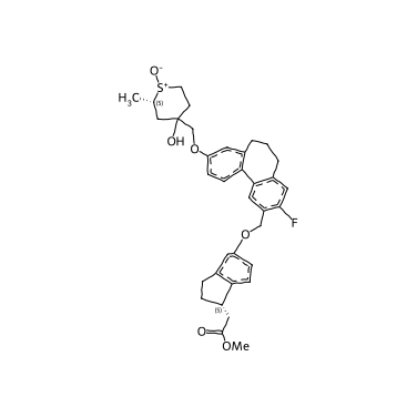 COC(=O)C[C@@H]1CCc2cc(OCc3cc4c(cc3F)CCCc3cc(OCC5(O)CC[S+]([O-])[C@@H](C)C5)ccc3-4)ccc21